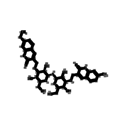 COc1ccc2cc(COC3[C@@H](O)C(CO)O[C@@H](S[C@@H]4OC(CO)[C@H](O)[C@H](OCc5cc6ccc(C)cc6oc5=O)C4O)[C@@H]3O)c(=O)oc2c1